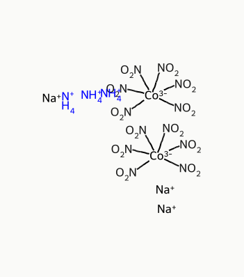 O=[N+]([O-])[Co-3]([N+](=O)[O-])([N+](=O)[O-])([N+](=O)[O-])([N+](=O)[O-])[N+](=O)[O-].O=[N+]([O-])[Co-3]([N+](=O)[O-])([N+](=O)[O-])([N+](=O)[O-])([N+](=O)[O-])[N+](=O)[O-].[NH4+].[NH4+].[NH4+].[Na+].[Na+].[Na+]